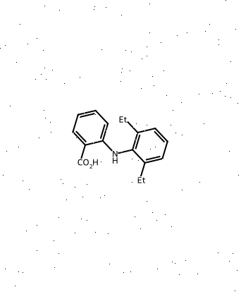 CCc1cccc(CC)c1Nc1ccccc1C(=O)O